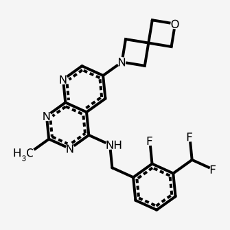 Cc1nc(NCc2cccc(C(F)F)c2F)c2cc(N3CC4(COC4)C3)cnc2n1